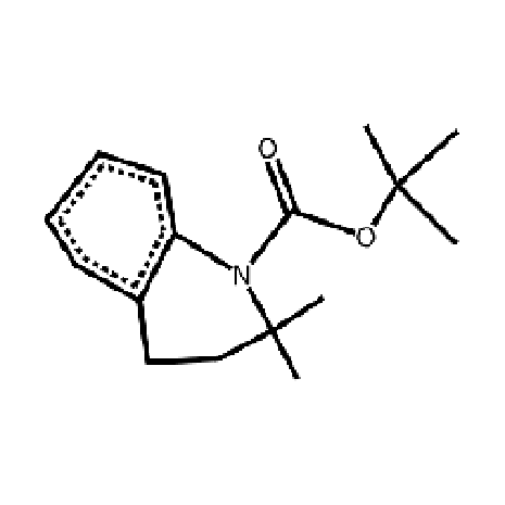 CC(C)(C)OC(=O)N1c2ccccc2CCC1(C)C